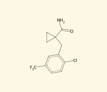 NC(=O)C1(Cc2cc(C(F)(F)F)ccc2Cl)CC1